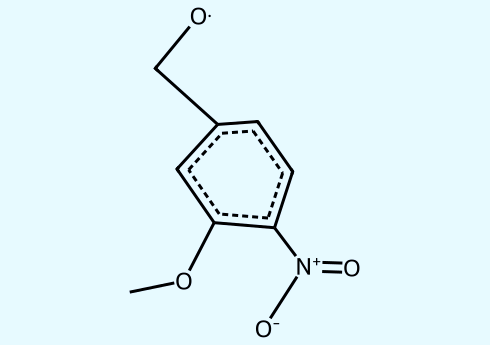 COc1cc(C[O])ccc1[N+](=O)[O-]